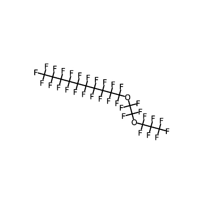 FC(F)(F)C(F)(F)C(F)(F)OC(F)(F)C(F)(F)OC(F)(F)C(F)(F)C(F)(F)C(F)(F)C(F)(F)C(F)(F)C(F)(F)C(F)(F)C(F)(F)C(F)(F)F